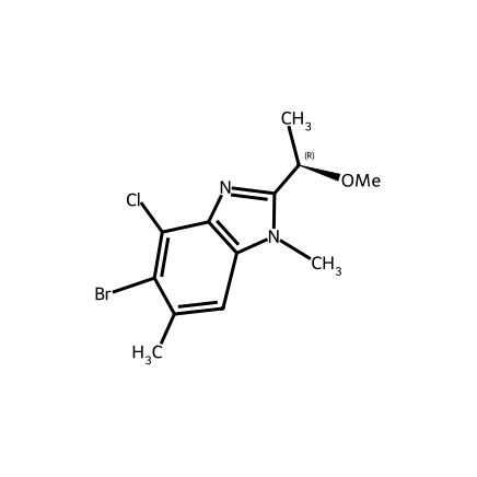 CO[C@H](C)c1nc2c(Cl)c(Br)c(C)cc2n1C